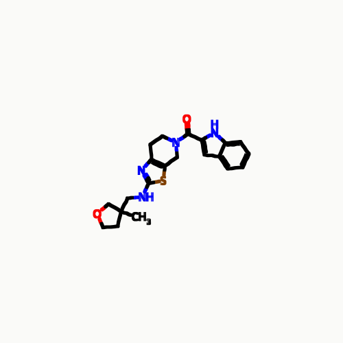 CC1(CNc2nc3c(s2)CN(C(=O)c2cc4ccccc4[nH]2)CC3)CCOC1